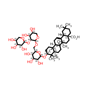 CC1(C)CC[C@]2(C(=O)O)CC[C@]3(C)C(=CC[C@@H]4[C@@]5(C)CC[C@H](O[C@@H]6O[C@H](CO[C@@H]7OC[C@H](O)[C@H](O)[C@H]7O[C@@H]7OC[C@H](O)[C@H](O)[C@H]7O)[C@@H](O)[C@H](O)[C@H]6O)C(C)(C)[C@@H]5CC[C@]43C)[C@@H]2C1